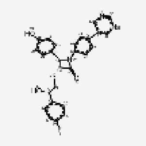 O=C1[C@H](SC[C@@H](O)c2ccc(F)cc2)[C@@H](c2ccc(O)cc2)N1c1ccc(-c2cncnc2)cc1